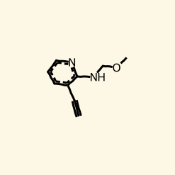 C#Cc1cccnc1NCOC